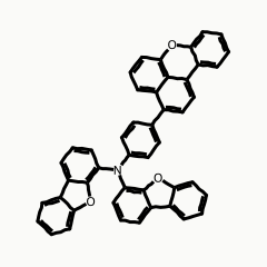 c1ccc2c(c1)Oc1cccc3c(-c4ccc(N(c5cccc6c5oc5ccccc56)c5cccc6c5oc5ccccc56)cc4)ccc-2c13